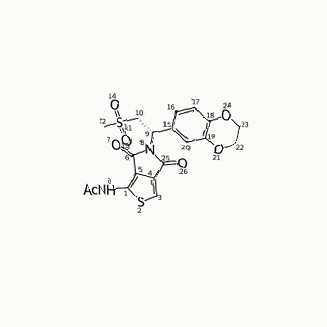 CC(=O)Nc1scc2c1C(=O)N([C@H](CS(C)(=O)=O)c1ccc3c(c1)OCCO3)C2=O